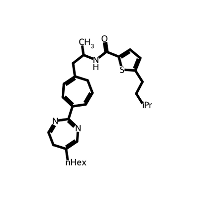 CCCCCCC1=CN=C(C2=CC=C(CC(C)NC(=O)c3ccc(CCC(C)C)s3)CC=C2)N=CC1